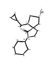 CC(C1CC1)N1C[C@H](O)CC12CCN(C1CCCCC1)C2=O